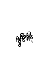 CN1C=C(N(c2ccccc2)c2ccc(-c3ccccc3)cc2)C=C2C1c1sc(C=C3C(=O)c4cscc4C3=O)cc1C2(C)C